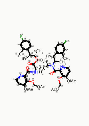 COc1ccnc(C(=O)N(C(C)[C@H](c2ccc(F)cc2C)C(C)C)[C@@H](C)C(=O)O)c1OCOC(C)=O.COc1ccnc(C(=O)N[C@@H](C)C(=O)O[C@@H](C)[C@H](c2ccc(F)cc2C)C(C)C)c1OCOC(C)=O